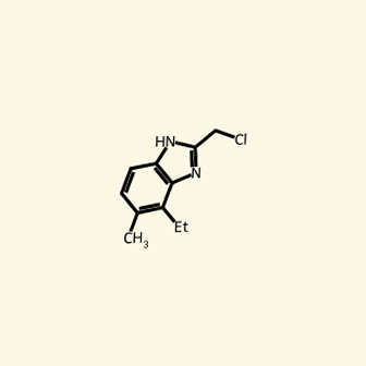 CCc1c(C)ccc2[nH]c(CCl)nc12